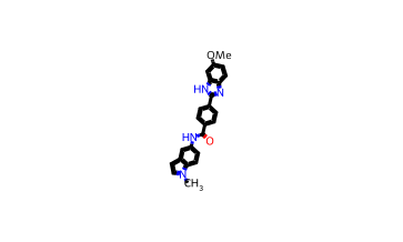 COc1ccc2nc(-c3ccc(C(=O)Nc4ccc5c(ccn5C)c4)cc3)[nH]c2c1